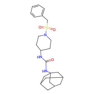 O=C(NC1CCN(S(=O)(=O)Cc2ccccc2)CC1)NC12CC3CC(CC(C3)C1)C2